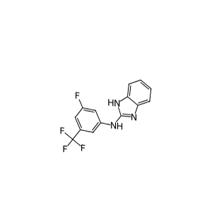 Fc1cc(Nc2nc3ccccc3[nH]2)cc(C(F)(F)F)c1